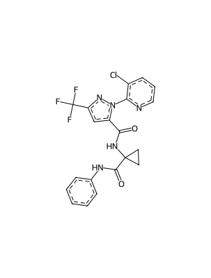 O=C(NC1(C(=O)Nc2ccccc2)CC1)c1cc(C(F)(F)F)nn1-c1ncccc1Cl